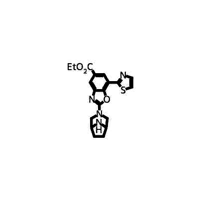 CCOC(=O)c1cc(-c2nccs2)c2oc(N3CC4CCC(C3)N4)nc2c1